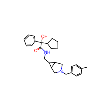 Cc1ccc(CN2CC3C(CNC(=O)[C@@](O)(c4ccccc4)C4CCCC4)C3C2)cc1